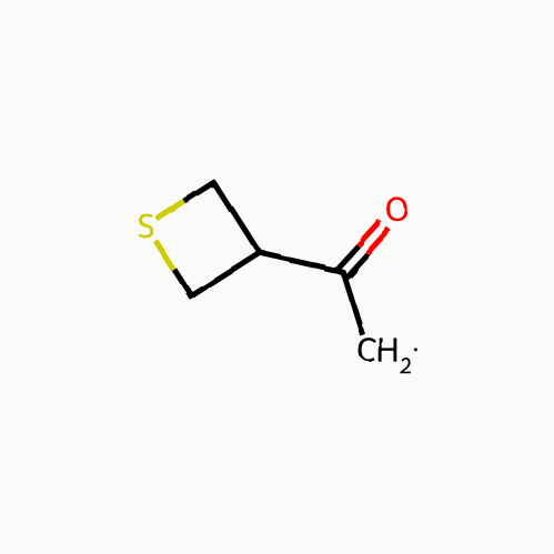 [CH2]C(=O)C1CSC1